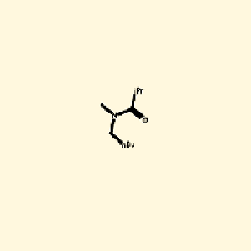 CCCCCN(C)C(=O)C(C)C